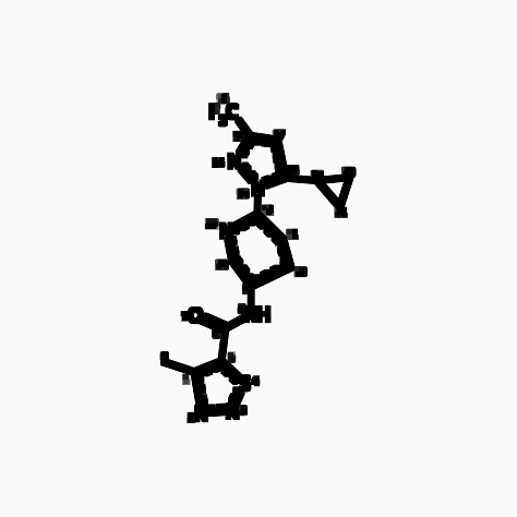 Cc1nnsc1C(=O)Nc1ccc(-n2nc(C(F)(F)F)cc2C2CC2)nc1